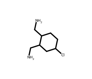 NCC1CCC(Cl)CC1CN